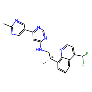 Cc1ncc(-c2cc(NC[C@@H](C)c3cccc4c(C(F)F)ccnc34)ncn2)cn1